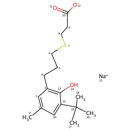 Cc1cc(CCCSCCC(=O)[O-])c(O)c(C(C)(C)C)c1.[Na+]